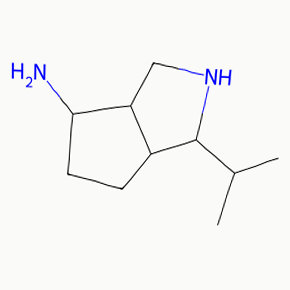 CC(C)C1NCC2C(N)CCC21